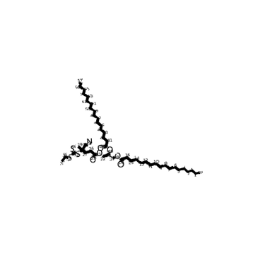 CCCCCCCCCCCCCCCCCC(=O)OC[C@H](COC(=O)CCC(C)(C#N)SC(=S)SCC)OC(=O)CCCCCCCCCCCCCCCCC